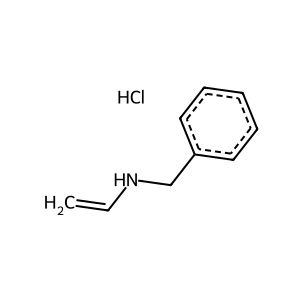 C=CNCc1ccccc1.Cl